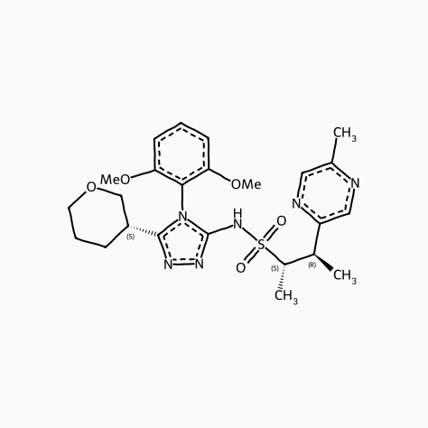 COc1cccc(OC)c1-n1c(NS(=O)(=O)[C@@H](C)[C@H](C)c2cnc(C)cn2)nnc1[C@@H]1CCCOC1